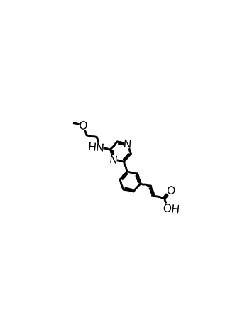 COCCNc1cncc(-c2cccc(C=CC(=O)O)c2)n1